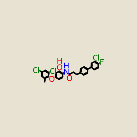 Cc1cc(Cl)cc(Cl)c1Oc1ccc(NC(=O)CCc2ccc(-c3ccc(F)c(Cl)c3)cc2)c(O)c1